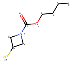 CCCCOC(=O)N1CC(S)C1